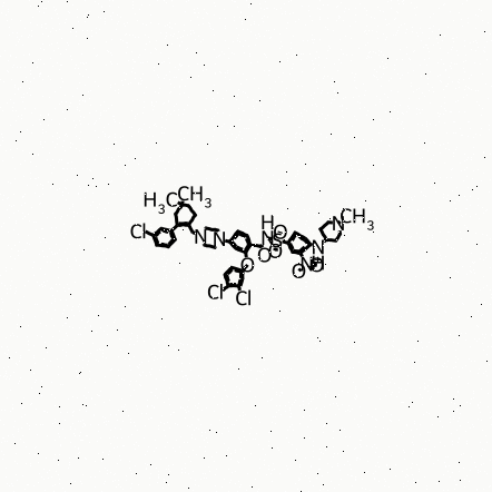 CN1CCC(Nc2ccc(S(=O)(=O)NC(=O)c3ccc(N4CCN(CC5=C(c6cccc(Cl)c6)CC(C)(C)CC5)CC4)cc3Oc3ccc(Cl)c(Cl)c3)cc2[N+](=O)[O-])CC1